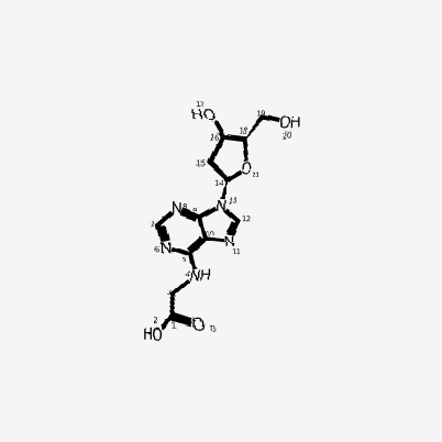 O=C(O)CNc1ncnc2c1ncn2[C@H]1CC(O)[C@@H](CO)O1